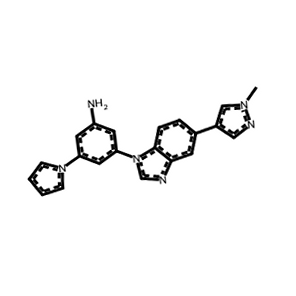 Cn1cc(-c2ccc3c(c2)ncn3-c2cc(N)cc(-n3cccc3)c2)cn1